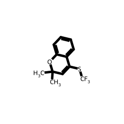 CC1(C)C=C(SC(F)(F)F)c2ccccc2O1